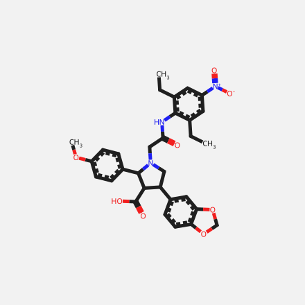 CCc1cc([N+](=O)[O-])cc(CC)c1NC(=O)CN1CC(c2ccc3c(c2)OCO3)C(C(=O)O)C1c1ccc(OC)cc1